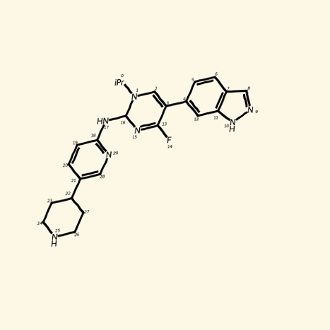 CC(C)N1C=C(c2ccc3cn[nH]c3c2)C(F)=NC1Nc1ccc(C2CCNCC2)cn1